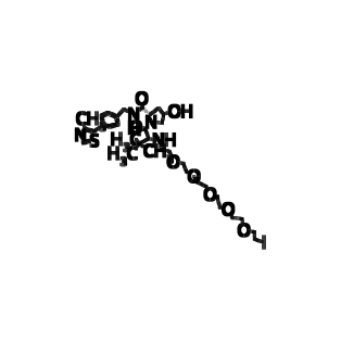 Cc1ncsc1-c1ccc(CNC(=O)[C@@H]2C[C@@H](O)CN2C(=O)[C@@H](NCCOCCOCCOCCOCCOCCI)C(C)(C)C)cc1